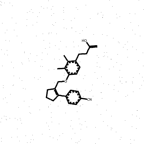 C=C(O)CCc1ccc(OCC2=C(c3ccc(C#N)cc3)CCC2)c(C)c1C